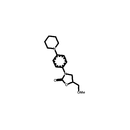 COCC1CN(c2ccc(N3CCCCC3)cc2)C(=O)O1